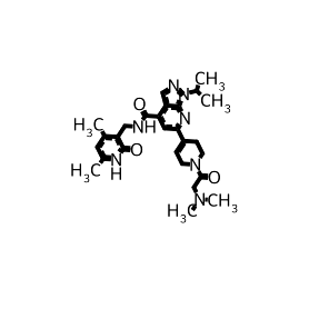 Cc1cc(C)c(CNC(=O)c2cc(C3=CCN(C(=O)CN(C)C)CC3)nc3c2cnn3C(C)C)c(=O)[nH]1